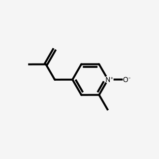 C=C(C)Cc1cc[n+]([O-])c(C)c1